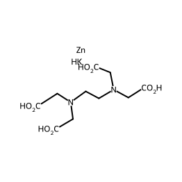 O=C(O)CN(CCN(CC(=O)O)CC(=O)O)CC(=O)O.[KH].[Zn]